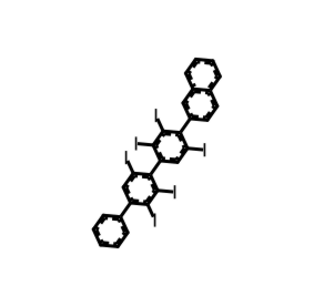 Ic1cc(-c2c(I)cc(-c3ccccc3)c(I)c2I)c(I)c(I)c1-c1ccc2ccccc2c1